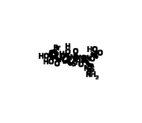 CC(C)(ONC(C(=O)NC1C(=O)N2C(C(=O)O)=C(CNC(=O)c3cc(Br)cc(O)c3O)CS[C@@H]12)c1csc(N)n1)C(=O)O